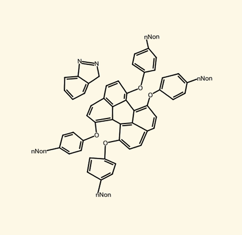 CCCCCCCCCc1ccc(Oc2ccc3ccc(Oc4ccc(CCCCCCCCC)cc4)c4c5c(Oc6ccc(CCCCCCCCC)cc6)ccc6ccc(Oc7ccc(CCCCCCCCC)cc7)c(c2c34)c65)cc1.c1ccc2c(c1)CN=N2